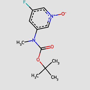 CN(C(=O)OC(C)(C)C)c1cc(F)c[n+]([O-])c1